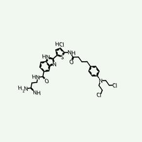 Cl.N=C(N)CCNC(=O)c1ccc2[nH]c(-c3ccc(NC(=O)CCCc4ccc(N(CCCl)CCCl)cc4)s3)nc2c1